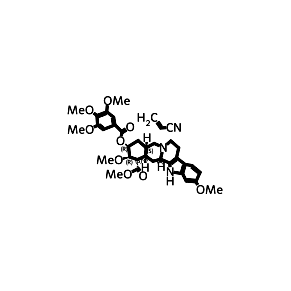 C=CC#N.COC(=O)[C@H]1[C@H]2C[C@@H]3c4[nH]c5cc(OC)ccc5c4CCN3C[C@H]2C[C@@H](OC(=O)c2cc(OC)c(OC)c(OC)c2)[C@@H]1OC